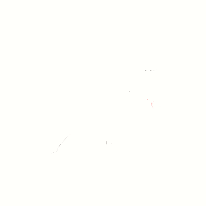 CCCC(O)CC([CH]CCCO)CC